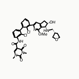 COc1nc(-c2cccc(-c3cccc(NC(=O)c4cn(C)c(=O)n(C)c4=O)c3Cl)c2Cl)cc2c1[C@@H](NC[C@@H]1CCOC1)[C@@H](O)C2